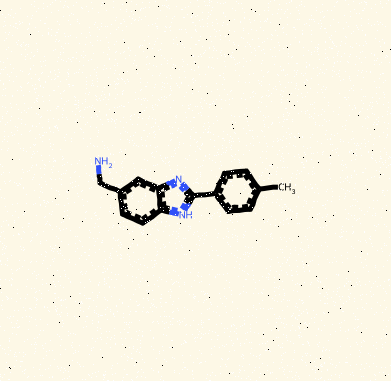 Cc1ccc(-c2nc3cc(CN)ccc3[nH]2)cc1